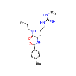 CC(C)CCNC(=O)[C@H](CCCNC(=N)N[N+](=O)[O-])NC(=O)c1ccc(C(C)(C)C)cc1